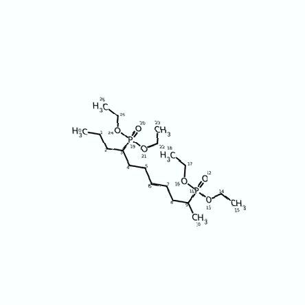 CCCC(CCCCCC(C)P(=O)(OCC)OCC)P(=O)(OCC)OCC